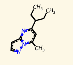 CCC(CC)c1cc(C)n2nccc2n1